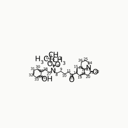 CC(C)(C)OC(=O)N(CCCCC(=O)c1cc2c3c(c1)CC(=O)N3CCC2)CCc1ccccc1O